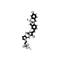 CS(=O)(=O)CCN1CCC[C@H]1CN1C(=O)SC(=Cc2ccc3c(cnn3Cc3ccc(Cl)cc3C(F)(F)F)c2)C1=O